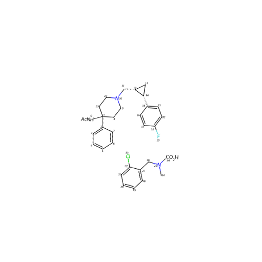 CC(=O)NC1(c2ccccc2)CCN(C[C@@H]2C[C@@H]2c2ccc(F)cc2)CC1.CN(Cc1ccccc1Cl)C(=O)O